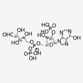 O=C[C@H](O)[C@H](O)[C@H](O)COP(=O)(OC[C@H]1O[C@@H](n2cnc3c(O)ncnc32)[C@H](OP(=O)(O)O)[C@@H]1O)OP(=O)(O)O